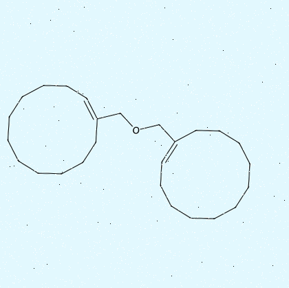 C1=C(COCC2=CCCCCCCCCCC2)CCCCCCCCCC1